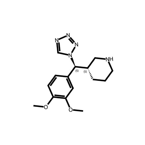 COc1ccc([C@H]([C@H]2CCCNC2)n2cnnn2)cc1OC